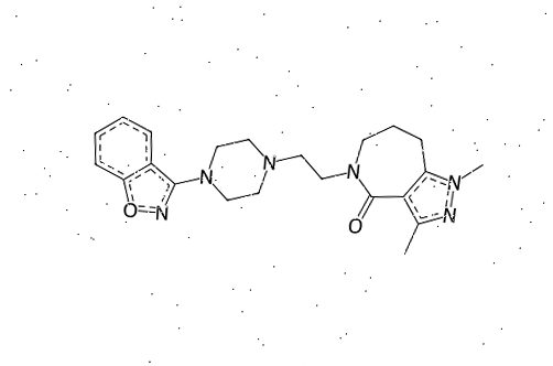 Cc1nn(C)c2c1C(=O)N(CCN1CCN(c3noc4ccccc34)CC1)CCC2